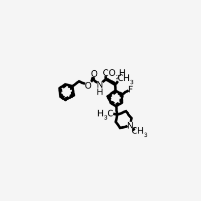 C/C(=C(/NC(=O)OCc1ccccc1)C(=O)O)c1ccc(C2(C)CCN(C)CC2)cc1F